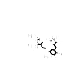 CN1C(=O)S/C(=C\c2cc(OCCc3cnc(N)nc3N)c(O)c(F)c2Br)C1=O